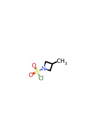 CC1CN(S(=O)(=O)Cl)C1